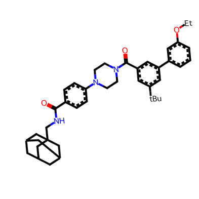 CCOc1cccc(-c2cc(C(=O)N3CCN(c4ccc(C(=O)NCC56CC7CC(CC(C7)C5)C6)cc4)CC3)cc(C(C)(C)C)c2)c1